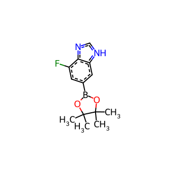 CC1(C)OB(c2cc(F)c3nc[nH]c3c2)OC1(C)C